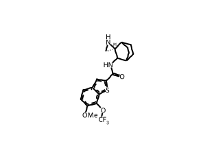 COc1ccc2cc(C(=O)NC3C4CCC(CC4)[C@@]34CN4)sc2c1OC(F)(F)F